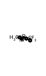 Cc1ccn2c(C(=O)N3CCC(c4ccccc4C(F)(F)F)CC3)nnc2c1